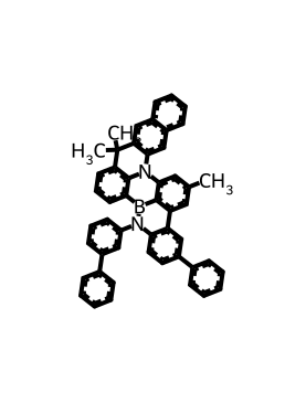 Cc1cc2c3c(c1)N1c4cc5ccccc5cc4C(C)(C)c4cccc(c41)B3N(c1cccc(-c3ccccc3)c1)c1ccc(-c3ccccc3)cc1-2